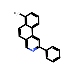 Cc1cccc2c1ccc1cnc(-c3ccccc3)cc12